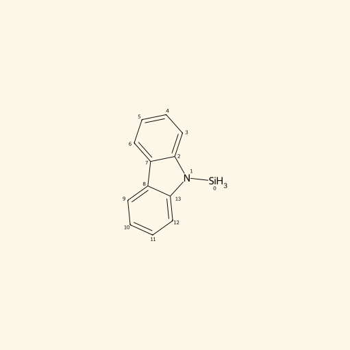 [SiH3]n1c2ccccc2c2ccccc21